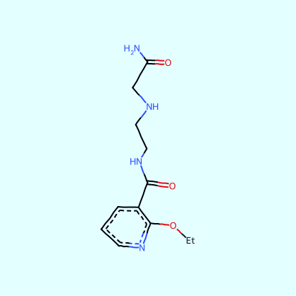 CCOc1ncccc1C(=O)NCCNCC(N)=O